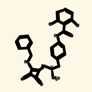 O=C(Nc1ccc(C[C@H](Nc2c(NCc3ccccc3)c(=O)c2=O)C(=O)O)cc1)c1c(Cl)cncc1Cl